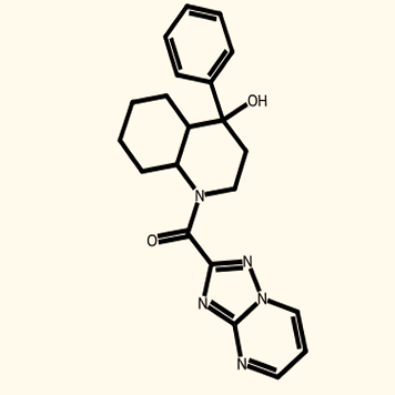 O=C(c1nc2ncccn2n1)N1CCC(O)(c2ccccc2)C2CCCCC21